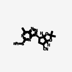 CCCSc1nc(C)c2nnn([C@@H]3C[C@H](C#N)[C@H]4OC(C)(C)O[C@H]43)c2n1